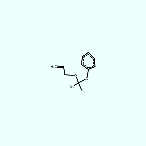 C=CCSC(Cl)(CC)Oc1ccccc1